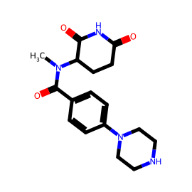 CN(C(=O)c1ccc(N2CCNCC2)cc1)C1CCC(=O)NC1=O